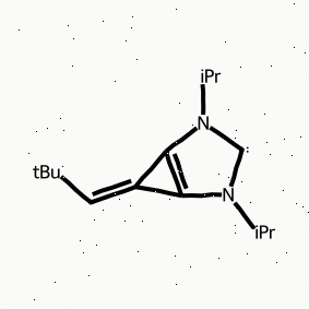 CC(C)N1[C]N(C(C)C)C2=C1C2=CC(C)(C)C